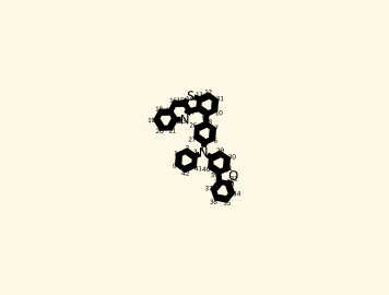 c1ccc(N(c2ccc(-c3cccc4sc5cc6ccccc6nc5c34)cc2)c2ccc3oc4ccccc4c3c2)cc1